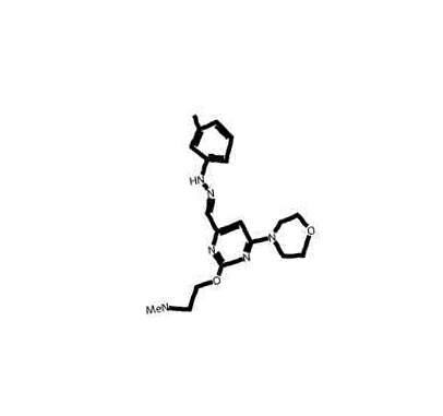 CNCCOc1nc(C=NNc2cccc(C)c2)cc(N2CCOCC2)n1